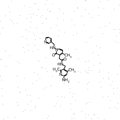 Cc1cc(N)nc(C)c1CNC(=O)Cc1c(C)ccn(NCc2cccnc2)c1=O